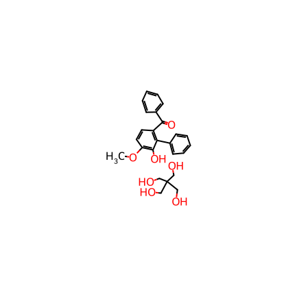 COc1ccc(C(=O)c2ccccc2)c(-c2ccccc2)c1O.OCC(CO)(CO)CO